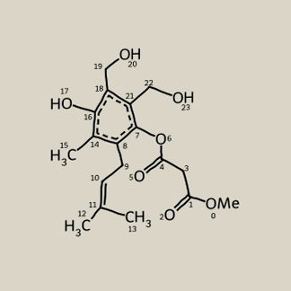 COC(=O)CC(=O)Oc1c(CC=C(C)C)c(C)c(O)c(CO)c1CO